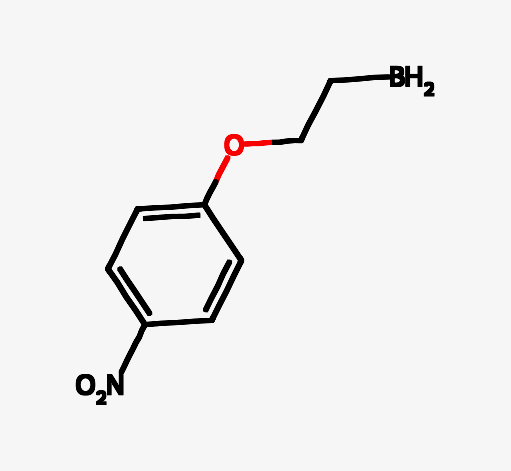 BCCOc1ccc([N+](=O)[O-])cc1